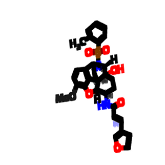 COc1ccc2c3c1O[C@H]1[C@H](NC(=O)/C=C/c4ccoc4)CC[C@@]4(O)[C@@H](C2)N(S(=O)(=O)c2ccccc2C)CC[C@]314